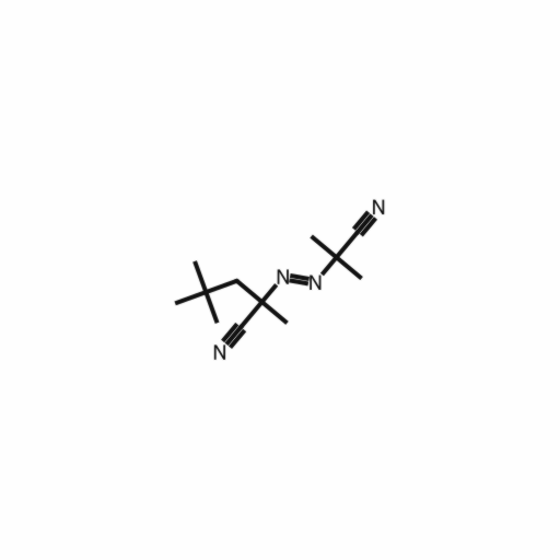 CC(C)(C)CC(C)(C#N)N=NC(C)(C)C#N